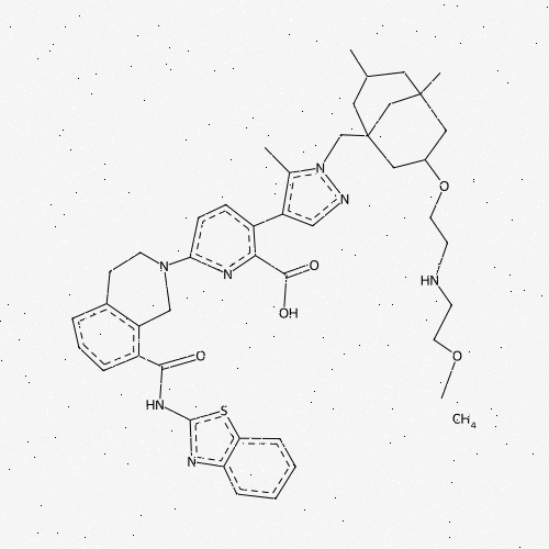 C.COCCNCCOC1CC2(C)CC(C)CC(Cn3ncc(-c4ccc(N5CCc6cccc(C(=O)Nc7nc8ccccc8s7)c6C5)nc4C(=O)O)c3C)(C1)C2